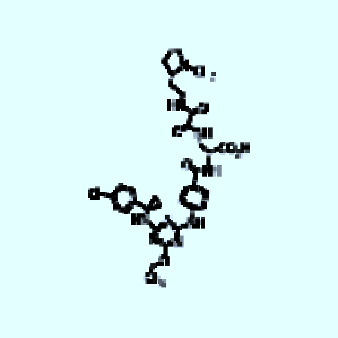 CN1CCCC1CCNC(=O)C(=O)NC[C@H](NC(=O)c1ccc(Nc2nc(NC3(c4ccc(Cl)cc4)CC3)nc(OCC(F)(F)F)n2)cc1)C(=O)O